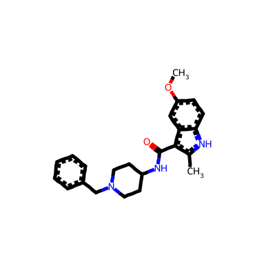 COc1ccc2[nH]c(C)c(C(=O)NC3CCN(Cc4ccccc4)CC3)c2c1